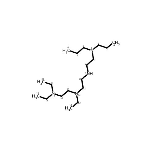 CCCN(CCC)CCNCCN(CC)CCN(CC)CC